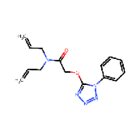 C=CCN(CC=C)C(=O)COc1nnnn1-c1ccccc1